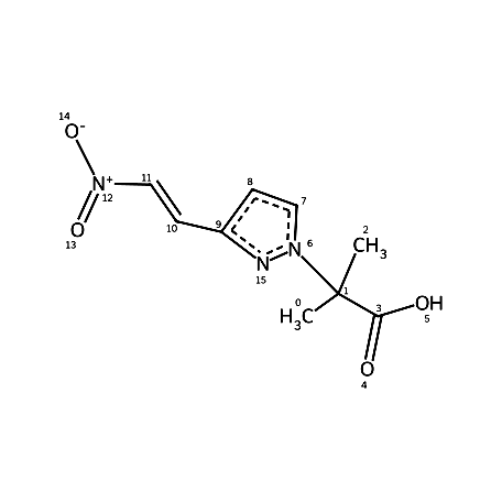 CC(C)(C(=O)O)n1ccc(C=C[N+](=O)[O-])n1